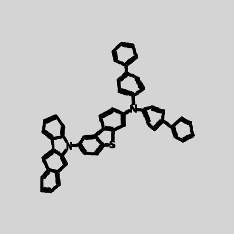 c1ccc(-c2ccc(N(c3ccc(-c4ccccc4)cc3)c3ccc4c(c3)sc3ccc(-n5c6ccccc6c6cc7ccccc7cc65)cc34)cc2)cc1